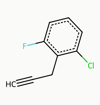 C#CCc1c(F)cccc1Cl